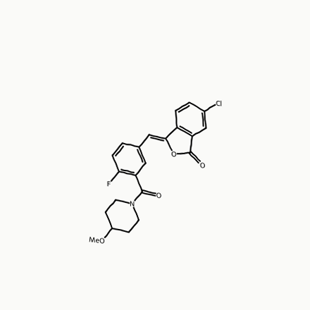 COC1CCN(C(=O)c2cc(C=C3OC(=O)c4cc(Cl)ccc43)ccc2F)CC1